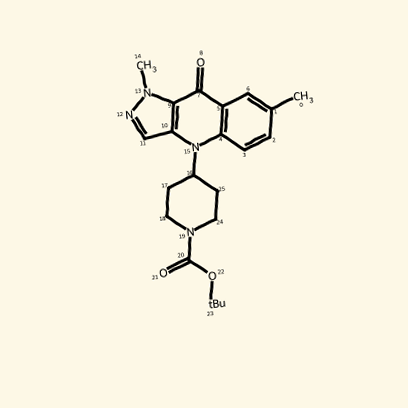 Cc1ccc2c(c1)c(=O)c1c(cnn1C)n2C1CCN(C(=O)OC(C)(C)C)CC1